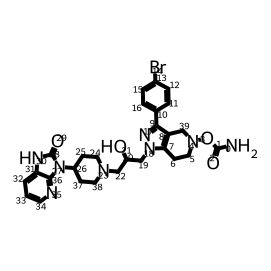 NC(=O)ON1CCc2c(c(-c3ccc(Br)cc3)nn2CC(O)CN2CCC(n3c(=O)[nH]c4cccnc43)CC2)C1